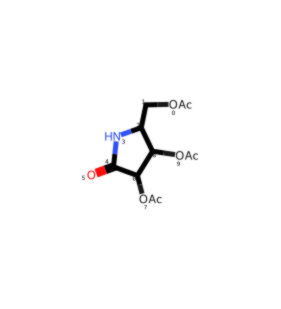 CC(=O)OCC1NC(=O)C(OC(C)=O)C1OC(C)=O